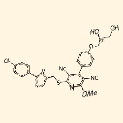 [C-]#[N+]c1c(OC)nc(SCc2csc(-c3ccc(Cl)cc3)n2)c(C#N)c1-c1ccc(OC[C@@H](O)CO)cc1